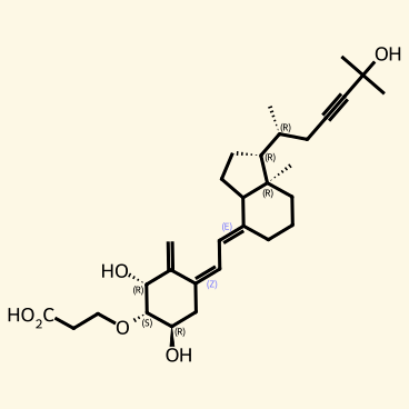 C=C1/C(=C\C=C2/CCC[C@@]3(C)C2CC[C@@H]3[C@H](C)CC#CC(C)(C)O)C[C@@H](O)[C@H](OCCC(=O)O)[C@@H]1O